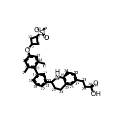 Cc1cc(OC2CC(S(C)(=O)=O)C2)cc(C)c1-c1cccc(C2CCc3cc(CCC(=O)O)ccc3N2)c1